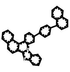 c1ccc2c(-c3ccc(-c4ccc5c6c7ccccc7ccc6c6nc7ccccc7n6c5c4)cc3)cccc2c1